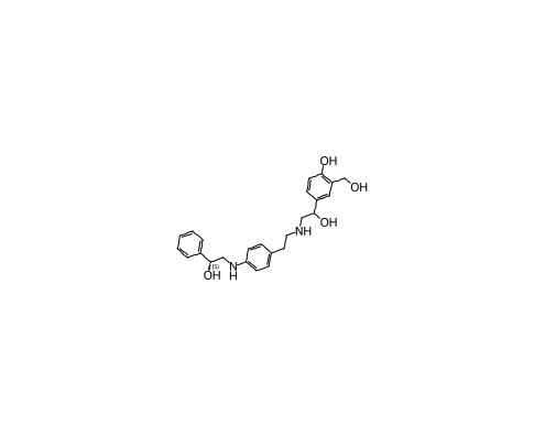 OCc1cc(C(O)CNCCc2ccc(NC[C@@H](O)c3ccccc3)cc2)ccc1O